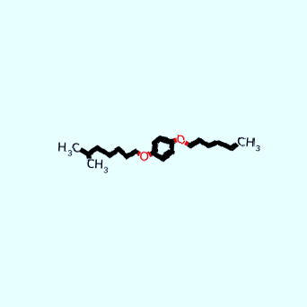 CCCCCCOc1ccc(OCCCCC[C](C)C)cc1